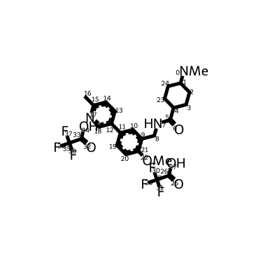 CNC1CCC(C(=O)NCc2cc(-c3ccc(C)nc3)ccc2OC)CC1.O=C(O)C(F)(F)F.O=C(O)C(F)(F)F